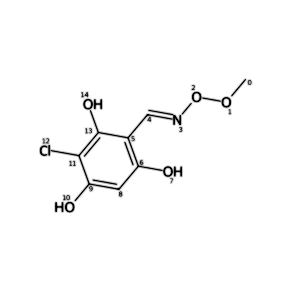 COON=Cc1c(O)cc(O)c(Cl)c1O